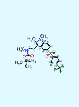 Cc1c(CCN(C)C(=O)OC(C)(C)C)c2cc(S(=O)(=O)c3ccc(C(F)(F)F)cc3)ccc2n1C